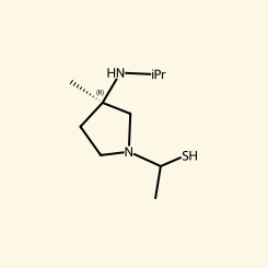 CC(C)N[C@]1(C)CCN(C(C)S)C1